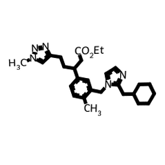 CCOC(=O)CC(CCc1cn(C)nn1)c1ccc(C)c(Cn2ccnc2CC2CCCCC2)c1